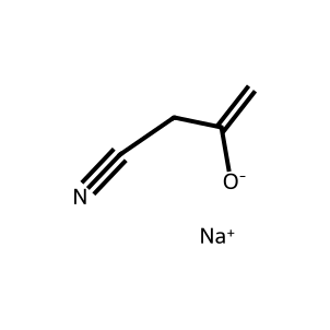 C=C([O-])CC#N.[Na+]